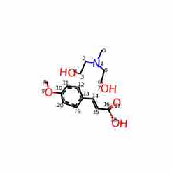 CN(CCO)CCO.COc1ccc(C=CC(=O)O)cc1